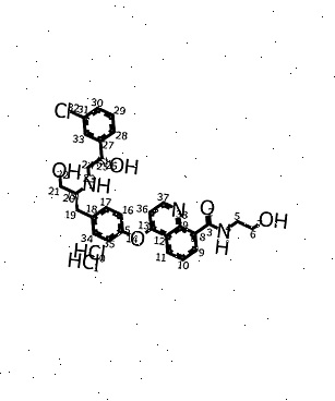 Cl.Cl.O=C(NCCO)c1cccc2c(Oc3ccc(C[C@@H](CO)NC[C@@H](O)c4cccc(Cl)c4)cc3)ccnc12